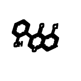 O=c1c(-c2ccccc2O)coc2c[c]cc(Cl)c12